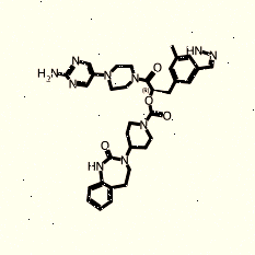 Cc1cc(C[C@@H](OC(=O)N2CCC(N3CCc4ccccc4NC3=O)CC2)C(=O)N2CCN(c3cnc(N)nc3)CC2)cc2cn[nH]c12